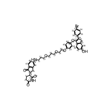 O=C1CCC(N2Cc3cc(NCCCOCCCOCCOc4ccc(Oc5c(-c6ccc(Br)cc6)sc6cc(O)ccc56)cc4)ccc3C2=O)C(=O)N1